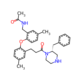 CC(=O)NCc1cc(C)ccc1Oc1ccc(C)cc1CCC(=O)N1CCNC[C@H]1Cc1ccccc1